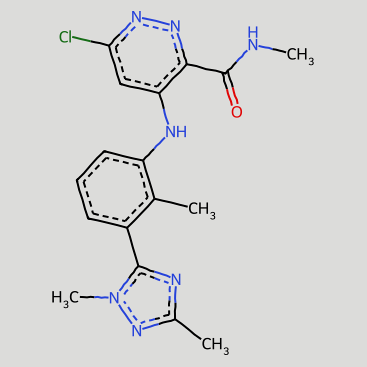 CNC(=O)c1nnc(Cl)cc1Nc1cccc(-c2nc(C)nn2C)c1C